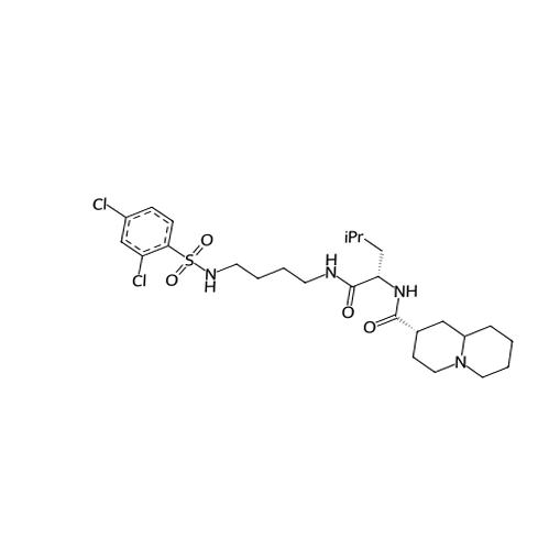 CC(C)C[C@H](NC(=O)[C@H]1CCN2CCCCC2C1)C(=O)NCCCCNS(=O)(=O)c1ccc(Cl)cc1Cl